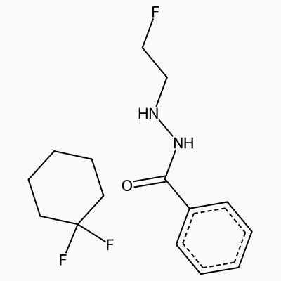 FC1(F)CCCCC1.O=C(NNCCF)c1ccccc1